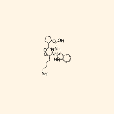 O=C(CCCCS)NN(C(=O)C1CCCC1)[C@@H](Cc1c[nH]c2ccccc12)C(=O)O